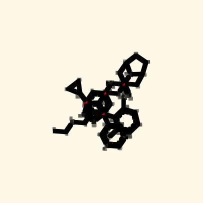 CCOCc1ccc(NC(=O)N2C3CCC2CC(OCc2c(-c4c(Cl)cccc4Cl)noc2C2CC2)C3)cc1-c1cncnc1